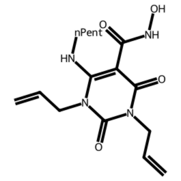 C=CCn1c(NCCCCC)c(C(=O)NO)c(=O)n(CC=C)c1=O